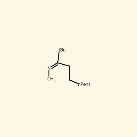 CCCCCCC/C(=N\C)C(C)(C)C